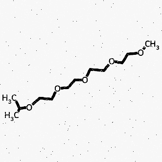 COCCOCCOCCOCCOC(C)C